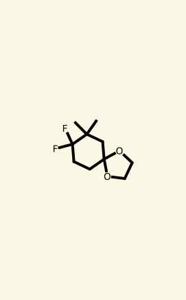 CC1(C)CC2(CCC1(F)F)OCCO2